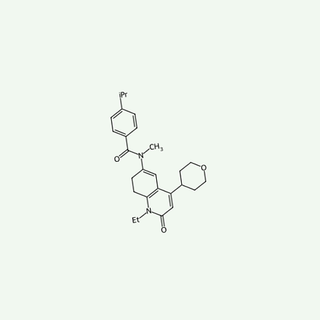 CCn1c2c(c(C3CCOCC3)cc1=O)C=C(N(C)C(=O)c1ccc(C(C)C)cc1)CC2